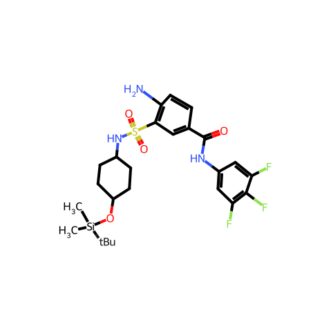 CC(C)(C)[Si](C)(C)OC1CCC(NS(=O)(=O)c2cc(C(=O)Nc3cc(F)c(F)c(F)c3)ccc2N)CC1